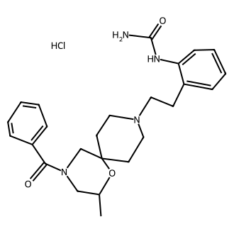 CC1CN(C(=O)c2ccccc2)CC2(CCN(CCc3ccccc3NC(N)=O)CC2)O1.Cl